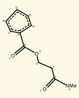 CNC(=O)CCOC(=O)c1ccccc1